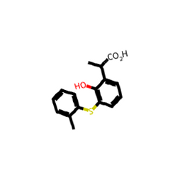 Cc1ccccc1Sc1cccc(C(C)C(=O)O)c1O